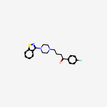 O=C(CCCN1CCN(c2nsc3ccccc23)CC1)c1ccc(F)cc1